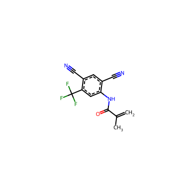 C=C(C)C(=O)Nc1cc(C(F)(F)F)c(C#N)cc1C#N